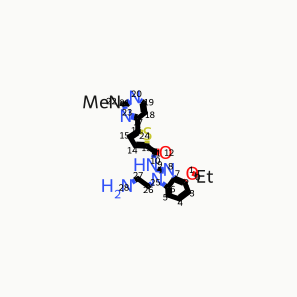 CCOc1cccc2c1nc(NC(=O)c1ccc(-c3ccnc(NC)n3)s1)n2CCN